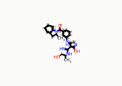 CC(CO)NC(=N)c1c(O)nsc1Nc1cccc(C(=O)N2c3ccccc3CC2C)c1